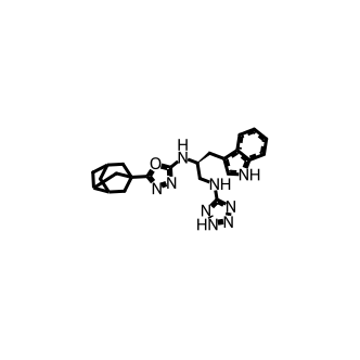 c1ccc2c(C[C@@H](CNc3nn[nH]n3)Nc3nnc(C45CC6CC(C4)C(C6)C5)o3)c[nH]c2c1